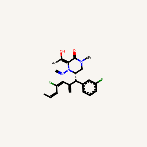 C=NN1/C(=C(/O)C(C)=O)C(=O)N(C(C)C)C[C@@H]1C(C(=C)/C=C(F)\C=C/C)c1cccc(F)c1